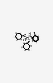 Cc1ccccc1NP(=O)(OC1CCCCC1)OC1CCCCC1